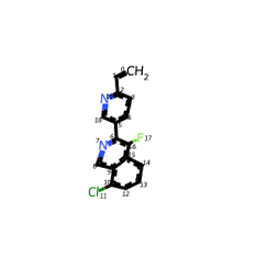 C=Cc1ccc(-c2ncc3c(Cl)cccc3c2F)cn1